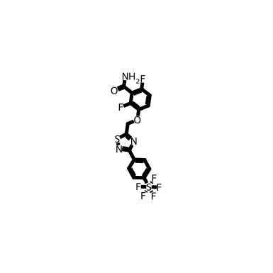 NC(=O)c1c(F)ccc(OCc2nc(-c3ccc(S(F)(F)(F)(F)F)cc3)ns2)c1F